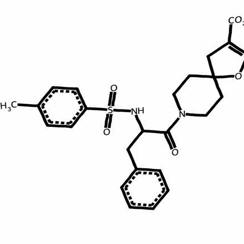 Cc1ccc(S(=O)(=O)NC(Cc2ccccc2)C(=O)N2CCC3(CC2)CC(C(=O)O)=NO3)cc1